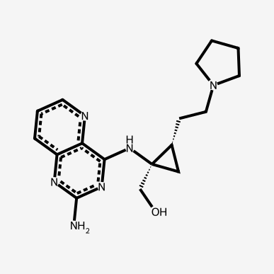 Nc1nc(N[C@]2(CO)C[C@H]2CCN2CCCC2)c2ncccc2n1